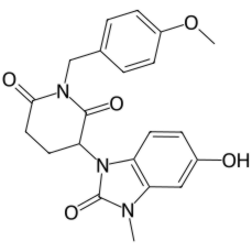 COc1ccc(CN2C(=O)CCC(n3c(=O)n(C)c4cc(O)ccc43)C2=O)cc1